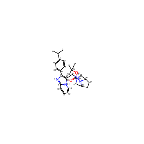 CC(C)c1ccc(-c2nc3ccccn3c2CN2CC3CCC(C2)N3C(=O)OC(C)(C)C)cc1